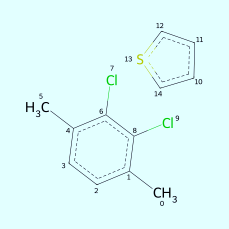 Cc1ccc(C)c(Cl)c1Cl.c1ccsc1